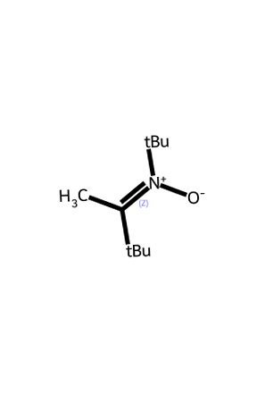 C/C(=[N+](/[O-])C(C)(C)C)C(C)(C)C